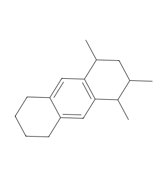 CC1CC(C)C(C)c2cc3c(cc21)CCCC3